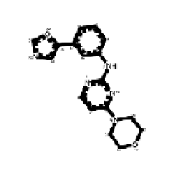 c1cc(Nc2nccc(N3CCOCC3)n2)cc(-c2cnco2)c1